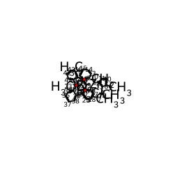 [CH2]=[Zr]([C]1=C(C(C)(C)C)C(C)=CC1)([c]1ccc(C)cc1)([c]1ccc(C)cc1)[c]1cccc2c1c1c(c3ccccc32)-c2ccccc2C1